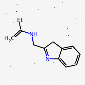 C=C(CC)NCC1=Nc2ccccc2C1